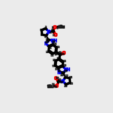 CC(C)(C)OC(=O)N1CCC[C@H]1c1nc2ccc(C(=O)c3ccc4nc([C@@H]5CCCN5C(=O)OC(C)(C)C)[nH]c4c3)cc2[nH]1